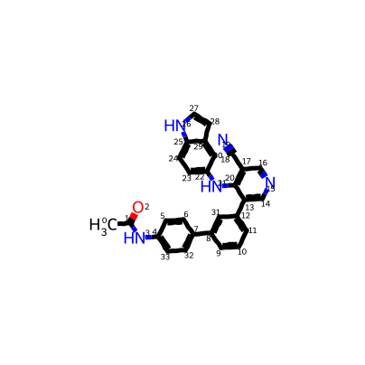 CC(=O)Nc1ccc(-c2cccc(-c3cncc(C#N)c3Nc3ccc4[nH]ccc4c3)c2)cc1